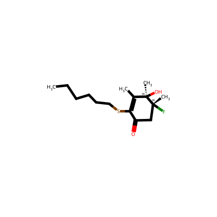 CCCCCCSC1=C(C)[C@@](C)(O)[C@](C)(F)CC1=O